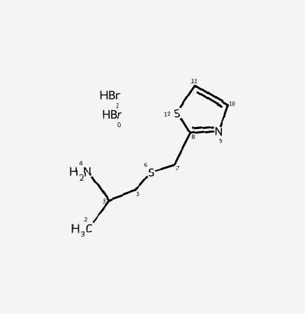 Br.Br.CC(N)CSCc1nccs1